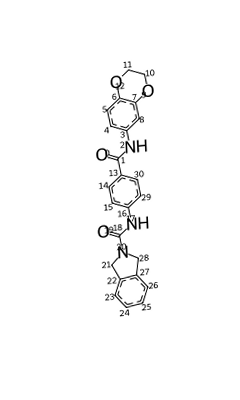 O=C(Nc1ccc2c(c1)OCCO2)c1ccc(NC(=O)N2Cc3ccccc3C2)cc1